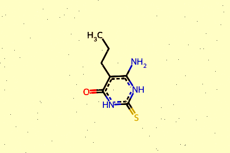 CCCc1c(N)[nH]c(=S)[nH]c1=O